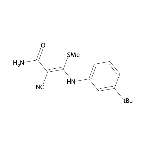 CS/C(Nc1cccc(C(C)(C)C)c1)=C(/C#N)C(N)=O